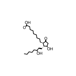 CCCCCC(O)/C=C/[C@H]1C(O)CC(=O)[C@@H]1CCCCCCCCC(=O)O